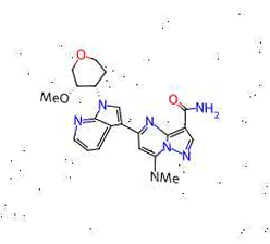 CNc1cc(-c2cn([C@H]3CCOC[C@H]3OC)c3ncccc23)nc2c(C(N)=O)cnn12